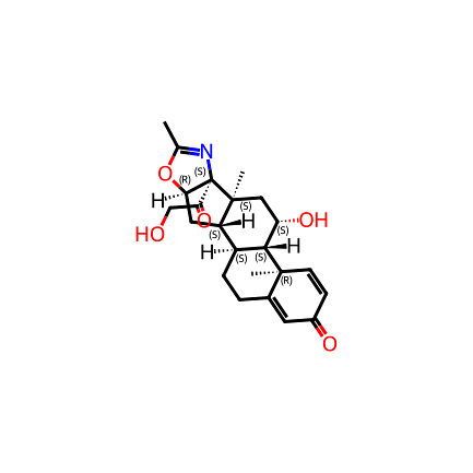 CC1=N[C@]2(C(=O)CO)[C@@H](C[C@H]3[C@@H]4CCC5=CC(=O)C=C[C@]5(C)[C@H]4[C@@H](O)C[C@@]32C)O1